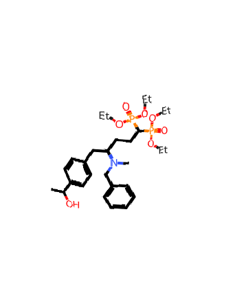 CCOP(=O)(OCC)C(CCC(Cc1ccc(C(C)O)cc1)N(C)Cc1ccccc1)P(=O)(OCC)OCC